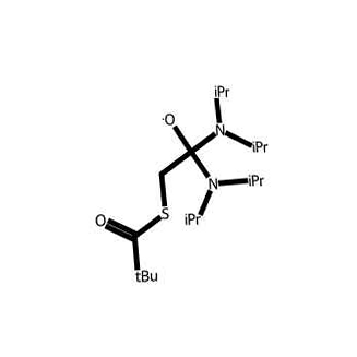 CC(C)N(C(C)C)C([O])(CSC(=O)C(C)(C)C)N(C(C)C)C(C)C